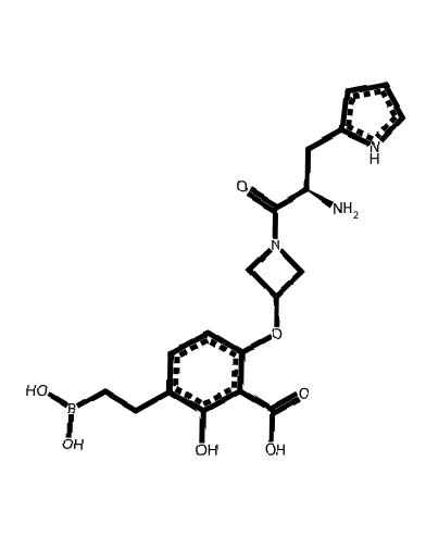 N[C@H](Cc1ccc[nH]1)C(=O)N1CC(Oc2ccc(CCB(O)O)c(O)c2C(=O)O)C1